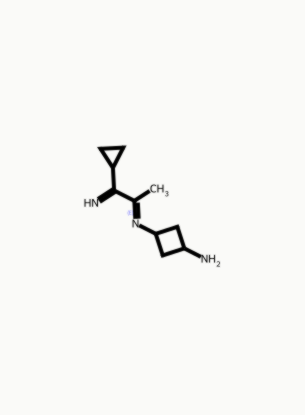 C/C(=N\C1CC(N)C1)C(=N)C1CC1